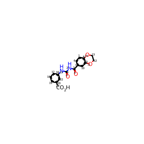 O=C(NC(=O)c1ccc2c(c1)OCCO2)Nc1cccc(C(=O)O)c1